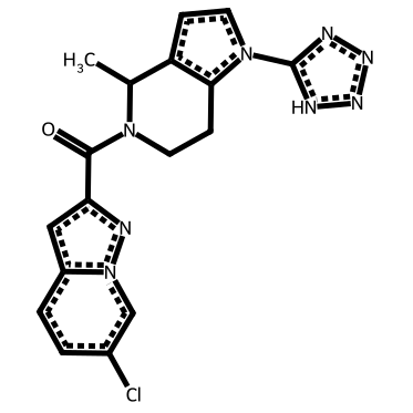 CC1c2ccn(-c3nnn[nH]3)c2CCN1C(=O)c1cc2ccc(Cl)cn2n1